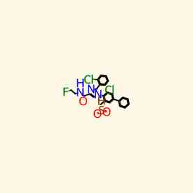 O=C(NCCF)c1cn(-c2ccc(-c3ccccc3)cc2C[SH](=O)=O)c(-c2c(Cl)cccc2Cl)n1